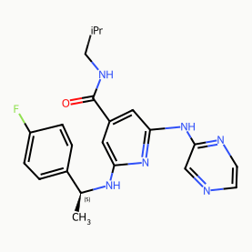 CC(C)CNC(=O)c1cc(Nc2cnccn2)nc(N[C@@H](C)c2ccc(F)cc2)c1